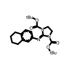 CC(C)(C)OC(=O)N1CCN(C(=O)OC(C)(C)C)C1=Nc1ccc2c(c1)CCCC2